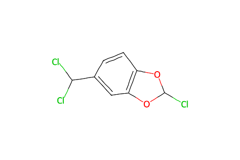 ClC1Oc2ccc(C(Cl)Cl)cc2O1